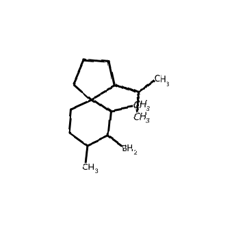 BC1C(C)CCC2(CCCC2C(C)C)C1C